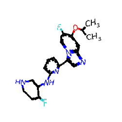 CC(C)Oc1cc2ncc(-c3cccc(NC4CNCCC4F)n3)n2cc1F